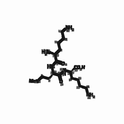 CSCC[C@H](NC(=O)[C@@H](N)CCCCN)C(=O)N[C@@H](CCCCN)C(=O)O